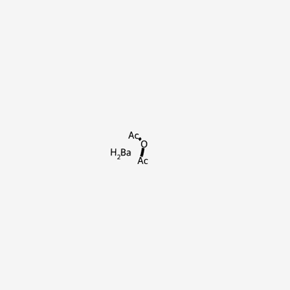 CC(=O)OC(C)=O.[BaH2]